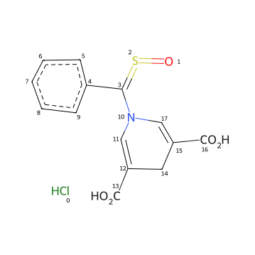 Cl.O=S=C(c1ccccc1)N1C=C(C(=O)O)CC(C(=O)O)=C1